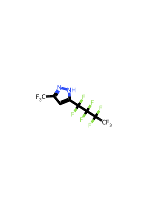 FC(F)(F)c1cc(C(F)(F)C(F)(F)C(F)(F)C(F)(F)F)[nH]n1